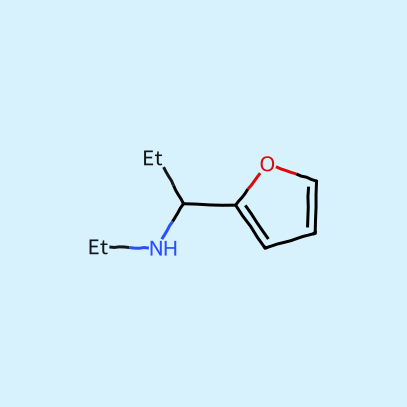 CCNC(CC)c1ccco1